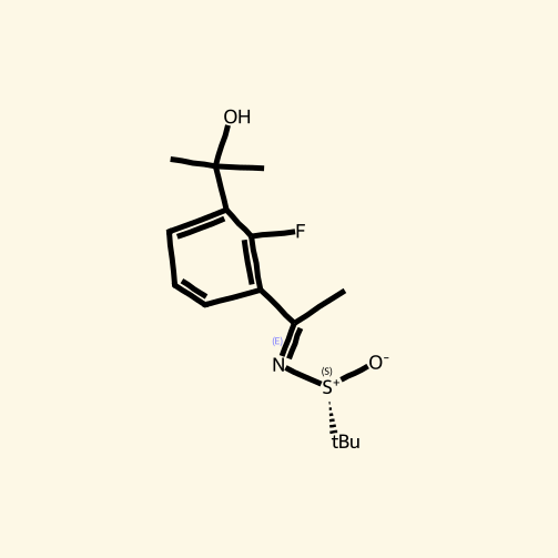 C/C(=N\[S@+]([O-])C(C)(C)C)c1cccc(C(C)(C)O)c1F